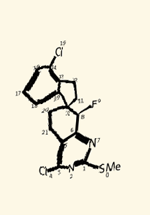 CSc1nc(Cl)c2c(n1)[C@H](F)[C@]1(CCc3c(Cl)cccc31)CC2